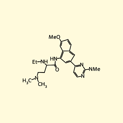 CCNC(CCN(C)C)C(=O)Nc1cc(-c2ccnc(NC)n2)cc2ccc(OC)cc12